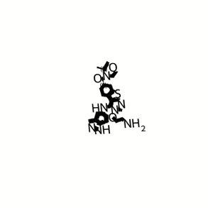 C[C@H]1COCCN1C(=O)[C@H]1CCc2c(sc3ncnc(Nc4cc5cn[nH]c5cc4OCCN)c23)C1